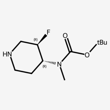 CN(C(=O)OC(C)(C)C)[C@@H]1CCNC[C@H]1F